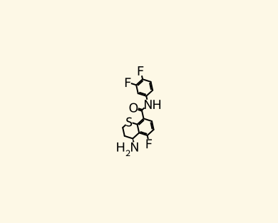 N[C@H]1CCSc2c(C(=O)Nc3ccc(F)c(F)c3)ccc(F)c21